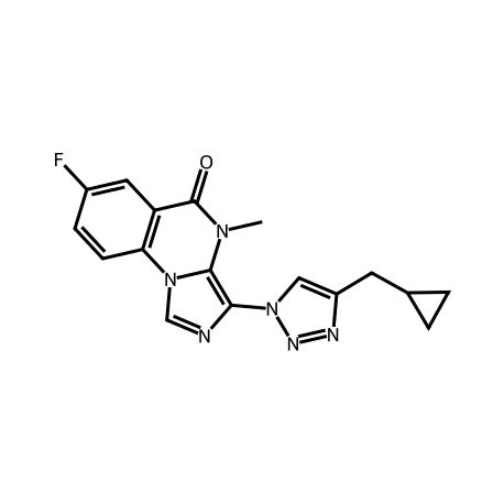 Cn1c(=O)c2cc(F)ccc2n2cnc(-n3cc(CC4CC4)nn3)c12